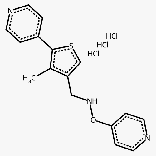 Cc1c(CNOc2ccncc2)csc1-c1ccncc1.Cl.Cl.Cl